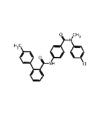 Cc1ccc(-c2ccccc2C(=O)Nc2ccc(C(=O)N(C)c3ccc(Cl)cc3)cc2)cc1